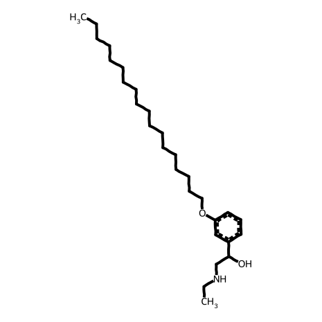 CCCCCCCCCCCCCCCCCCOc1cccc(C(O)CNCC)c1